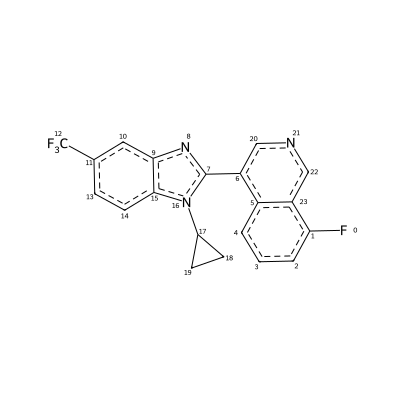 Fc1cccc2c(-c3nc4cc(C(F)(F)F)ccc4n3C3CC3)cncc12